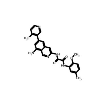 COc1ccc(C)cc1NC(=O)C(=O)Nc1cc2cc(-c3cnccc3C)cc(N)c2cn1